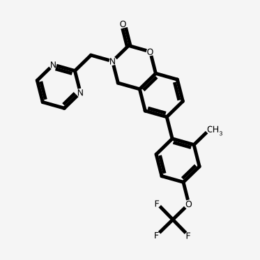 Cc1cc(OC(F)(F)F)ccc1-c1ccc2c(c1)CN(Cc1ncccn1)C(=O)O2